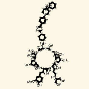 COc1cc(C[C@@H](O)[C@@H]2NC(=O)[C@@H]3C[C@@H](O)CN3C(=O)[C@H]([C@@H](C)O)NC(=O)[C@@H](NC[C@H]3CC[C@H](c4nnc(-c5ccc(N6CCC(OC)(C7CCCCC7)CC6)cc5)s4)CC3)C[C@@H](O)CNC(=O)[C@@H]3[C@@H](O)[C@@H](C)CN3C(=O)[C@H]([C@H](O)CCNC(CO)CO)NC2=O)ccc1O